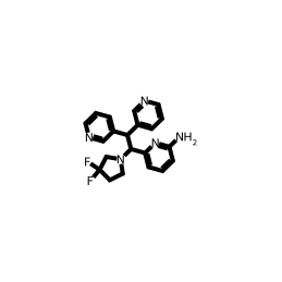 Nc1cccc(C(C(c2cccnc2)c2cccnc2)N2CCC(F)(F)C2)n1